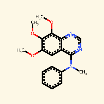 COc1cc2c(N(C)c3ccccc3)ncnc2c(OC)c1OC